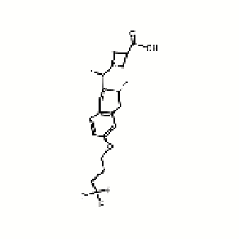 CC(C1=Cc2ccc(OCCCC(F)(F)F)cc2C[C@H]1C)N1CC(C(=O)O)C1